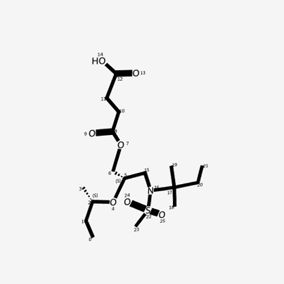 CC[C@H](C)O[C@H](COC(=O)CCC(=O)O)CN(C(C)(C)CC)S(C)(=O)=O